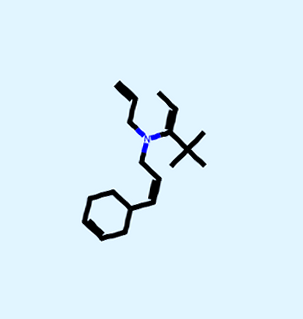 C=CCN(C/C=C\C1CC=CCC1)/C(=C\C)C(C)(C)C